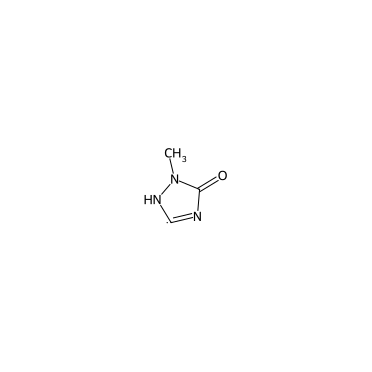 Cn1[nH][c]nc1=O